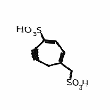 O=S(=O)(O)CC1=CC=C(S(=O)(=O)O)C#CC1